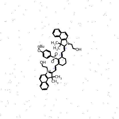 CCCCOc1ccc(S(=O)(=O)C2=C(/C=C/C3=[N+](CCO)c4ccc5ccccc5c4C3(C)C)CCC/C2=C\C=C2\N(CCO)c3ccc4ccccc4c3C2(C)C)cc1